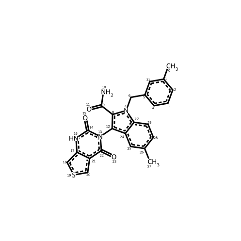 Cc1cccc(Cn2c(C(N)=O)c(-n3c(=O)[nH]c4cscc4c3=O)c3cc(C)ccc32)c1